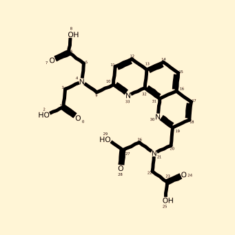 O=C(O)CN(CC(=O)O)Cc1ccc2ccc3ccc(CN(CC(=O)O)CC(=O)O)nc3c2n1